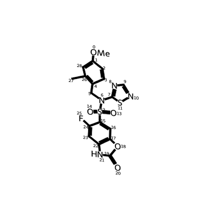 COc1ccc(CN(c2ncns2)S(=O)(=O)c2cc3oc(=O)[nH]c3cc2F)c(C)c1